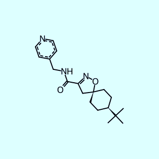 CC(C)(C)[C@H]1CC[C@@]2(CC1)CC(C(=O)NCc1ccncc1)=NO2